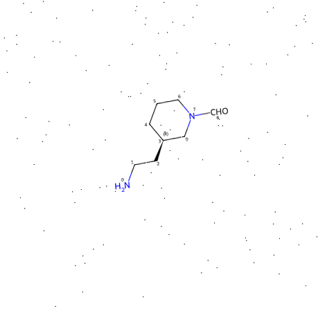 NCC[C@H]1CCCN(C=O)C1